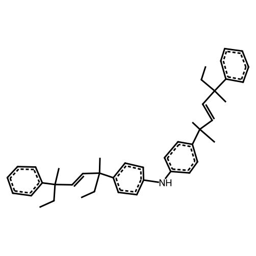 CCC(C)(/C=C/C(C)(C)c1ccc(Nc2ccc(C(C)(/C=C/C(C)(CC)c3ccccc3)CC)cc2)cc1)c1ccccc1